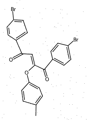 Cc1ccc(OC(=CC(=O)c2ccc(Br)cc2)C(=O)c2ccc(Br)cc2)cc1